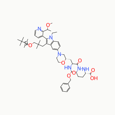 CCn1c(-c2cccnc2C(C)OC)c(CC(C)(C)CO[Si](C)(C)C(C)(C)C)c2cc(N3CCO[C@@H](CC(NC(=O)OCc4ccccc4)C(=O)N4CCC[C@@H](C(=O)O)N4)C3)ccc21